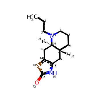 CCCN1CCC[C@@H]2Cc3[nH]c(=O)sc3C[C@H]21